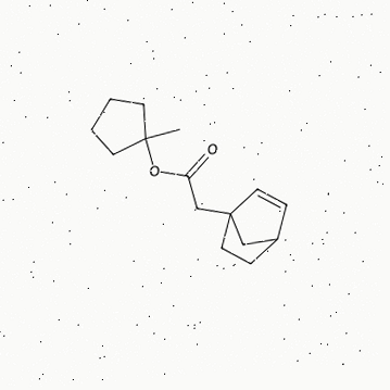 CC1(OC(=O)CC23C=CC(CC2)C3)CCCC1